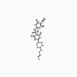 C/C=C/CCC1CCC(c2cc(F)c(C(F)(F)Oc3cc(F)c(C#N)c(F)c3)c(F)c2)CC1